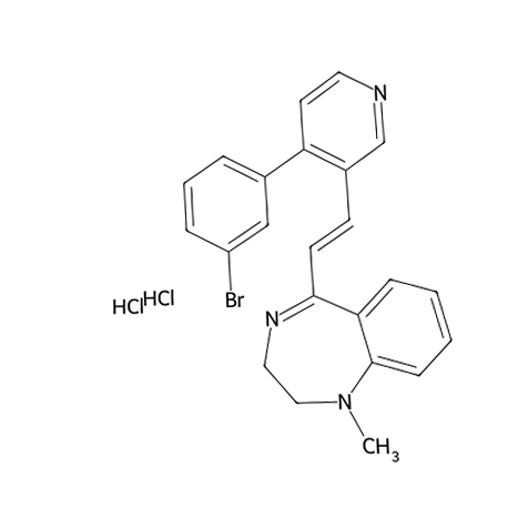 CN1CCN=C(/C=C/c2cnccc2-c2cccc(Br)c2)c2ccccc21.Cl.Cl